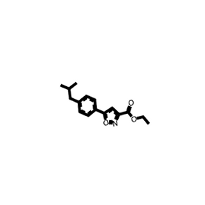 CCOC(=O)c1cc(-c2ccc(CC(C)C)cc2)on1